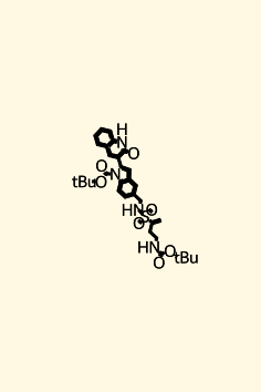 C=C(CCNC(=O)OC(C)(C)C)S(=O)(=O)NCc1ccc2c(c1)cc(-c1cc3ccccc3[nH]c1=O)n2C(=O)OC(C)(C)C